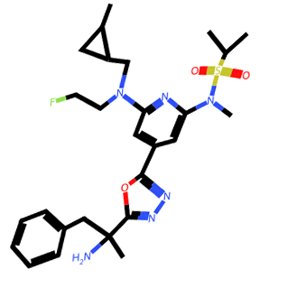 CC1CC1CN(CCF)c1cc(-c2nnc(C(C)(N)Cc3ccccc3)o2)cc(N(C)S(=O)(=O)C(C)C)n1